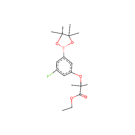 CCOC(=O)C(C)(C)Oc1cc(F)cc(B2OC(C)(C)C(C)(C)O2)c1